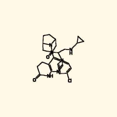 O=C1CCc2c(ncnc2N2CC3CCC(C2)N3C(=O)C(CNC2CC2)c2ccc(Cl)cc2)N1